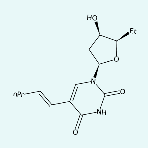 CCC/C=C/c1cn([C@H]2C[C@@H](O)[C@@H](CC)O2)c(=O)[nH]c1=O